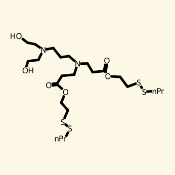 CCCSSCCOC(=O)CCN(CCCN(CCO)CCO)CCC(=O)OCCSSCCC